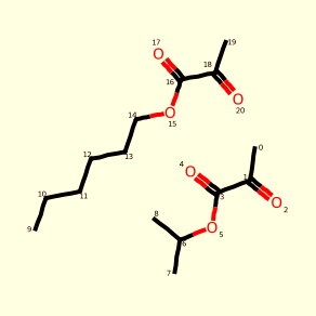 CC(=O)C(=O)OC(C)C.CCCCCCOC(=O)C(C)=O